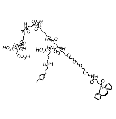 C[C@H](CCCOP(=O)(O)NC(CCC(=O)O)C(=O)O)NC(=O)CC[C@H](NC(=O)CCCCCNC(=O)CCC(NC(=O)CCOCCOCCOCCOCCNC(=O)CCC(=O)N1Cc2ccccc2C#Cc2ccccc21)C(=O)NC(CCCCNC(=O)CCCc1ccc(I)cc1)C(=O)O)C(=O)O